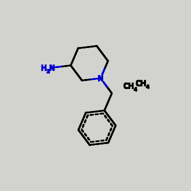 C.C.NC1CCCN(Cc2ccccc2)C1